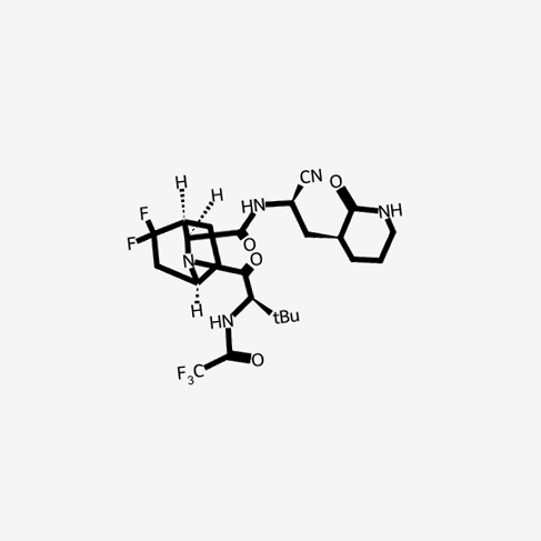 CC(C)(C)[C@@H](NC(=O)C(F)(F)F)C(=O)N1[C@H]2CC[C@@H]([C@H]1C(=O)N[C@@H](C#N)C[C@@H]1CCCNC1=O)C(F)(F)C2